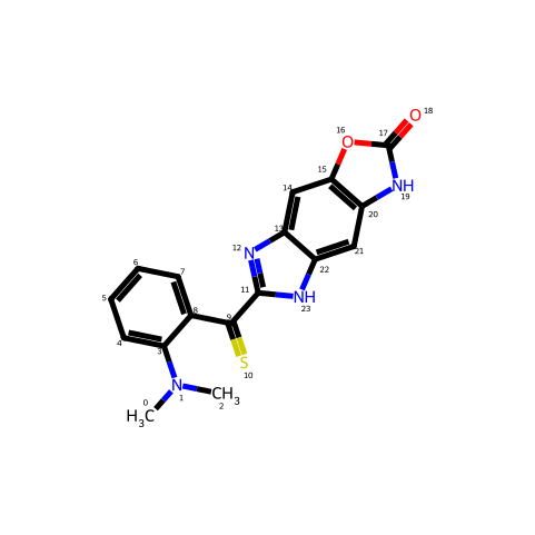 CN(C)c1ccccc1C(=S)c1nc2cc3oc(=O)[nH]c3cc2[nH]1